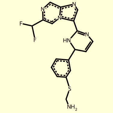 NCSc1cccc(C2C=CN=C(c3cnc4cnc(C(F)F)cn34)N2)c1